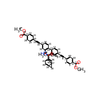 COC(=O)c1ccc(C#Cc2ccc(-c3ccc(C#Cc4ccc(C(=O)OC)cc4)cc3NC(=O)C3=CC45CC4=CC3C(C(C)C)C5)cc2)cc1